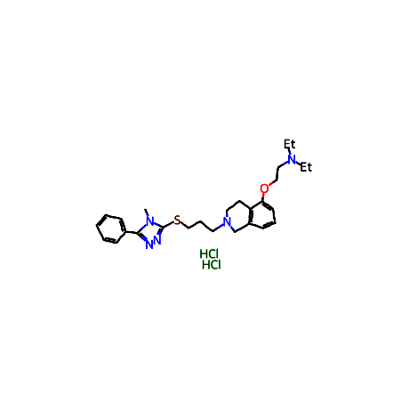 CCN(CC)CCOc1cccc2c1CCN(CCCSc1nnc(-c3ccccc3)n1C)C2.Cl.Cl